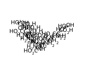 CC(O)C(C)O.CCCC(N)N.C[C@@H](N)C(=O)O.C[C@H](N)C(=O)NCC(=O)O.C[C@H](N)C(=O)O.NC(=O)C[C@H](N)C(=O)O.NCC(=O)O.N[C@@H](CCC(=O)O)C(=O)O.N[C@@H](CCC(=O)O)C(=O)O.N[C@@H](CO)C(=O)O.O=C1CC[C@@H](C(=O)O)N1.OCC(O)CO